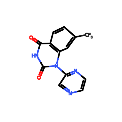 O=c1[nH]c(=O)n(-c2cnccn2)c2cc(C(F)(F)F)ccc12